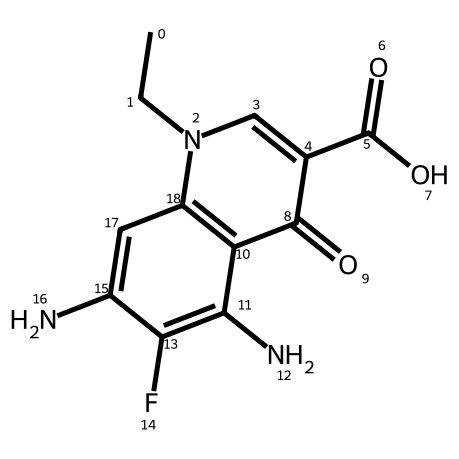 CCn1cc(C(=O)O)c(=O)c2c(N)c(F)c(N)cc21